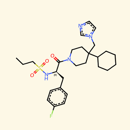 CCCS(=O)(=O)N[C@H](Cc1ccc(F)cc1)C(=O)N1CCC(Cn2ccnc2)(C2CCCCC2)CC1